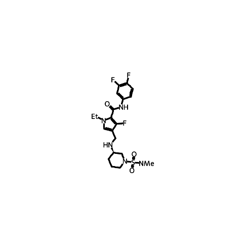 CCn1cc(CN[C@@H]2CCCN(S(=O)(=O)NC)C2)c(F)c1C(=O)Nc1ccc(F)c(F)c1